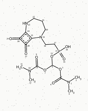 CN(C)C(=O)OC(OC(=O)N(C)C)OP(=O)(O)CCN1CCCNc2c1c(=O)c2=O